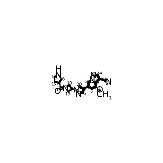 COc1cc(-c2cnn(C3CN(C(=O)[C@H]4CCNC4)C3)c2)cn2ncc(C#N)c12